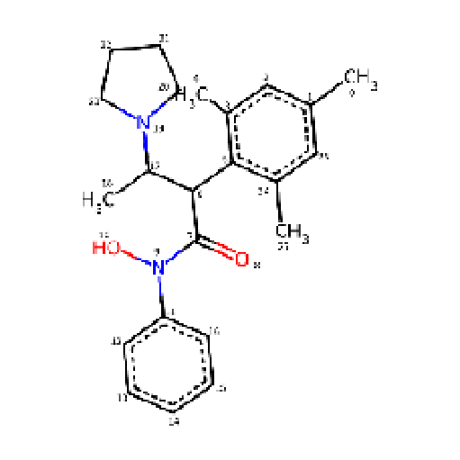 Cc1cc(C)c(C(C(=O)N(O)c2ccccc2)C(C)N2CCCC2)c(C)c1